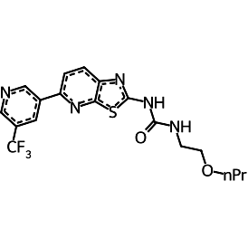 CCCOCCNC(=O)Nc1nc2ccc(-c3cncc(C(F)(F)F)c3)nc2s1